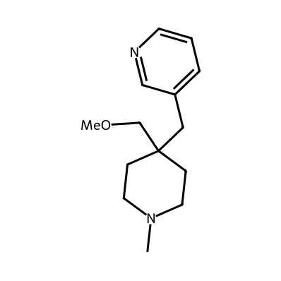 COCC1(Cc2cccnc2)CCN(C)CC1